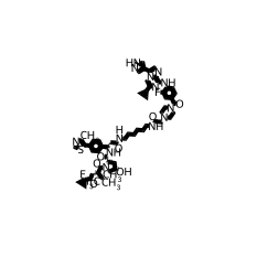 Cc1ncsc1-c1ccc([C@H](CC(=O)NCCCCCCNC(=O)CN2CCN(C(=O)c3ccc(Nc4nc(C5CC5)cn5c(-c6cn[nH]c6)cnc45)c(F)c3)CC2)NC(=O)[C@@H]2C[C@@H](O)CN2C(=O)[C@@H](CC(=O)C2(F)CC2)C(C)(C)C)cc1